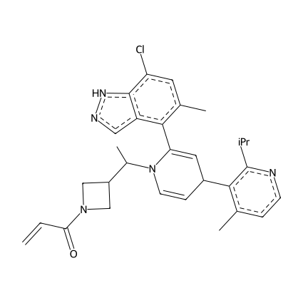 C=CC(=O)N1CC(C(C)N2C=CC(c3c(C)ccnc3C(C)C)C=C2c2c(C)cc(Cl)c3[nH]ncc23)C1